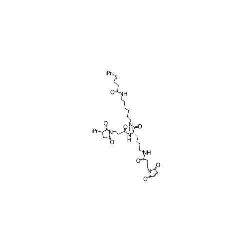 CC(C)SCCC(=O)NCCCCCCNC(=O)[C@H](CCCCNC(=O)CCN1C(=O)C=CC1=O)NC(=O)CCN1C(=O)CC(C(C)C)C1=O